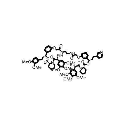 CC[C@H](C(=O)N1CCCC[C@H]1C(=O)O[C@H](CCc1cccnc1)c1cccc(OCC(=O)NCCNC(=O)COc2cccc([C@@H](CCc3ccc(OC)c(OC)c3)OC(=O)[C@@H]3CCCCN3C(=O)[C@@H](CC)c3cc(OC)c(OC)c(OC)c3)c2)c1)c1cc(OC)c(OC)c(OC)c1